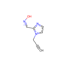 C#CCn1ccnc1/C=N\O